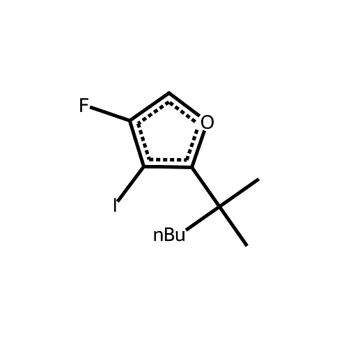 CCCCC(C)(C)c1occ(F)c1I